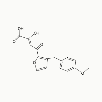 COc1ccc(Cc2ccoc2C(=O)C=C(O)C(=O)O)cc1